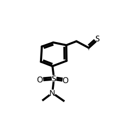 CN(C)S(=O)(=O)c1cccc(C[C]=S)c1